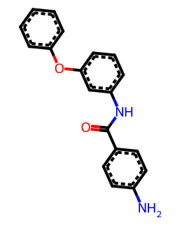 Nc1ccc(C(=O)Nc2cccc(Oc3ccccc3)c2)cc1